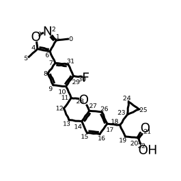 Cc1noc(C)c1-c1ccc(C2CCc3ccc(C(CC(=O)O)C4CC4)cc3O2)c(F)c1